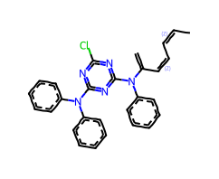 C=C(/C=C\C=C/C)N(c1ccccc1)c1nc(Cl)nc(N(c2ccccc2)c2ccccc2)n1